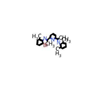 C/C(=N\c1c(C)cccc1C)c1cccc(/C(C)=N/c2c(C)cccc2Br)n1